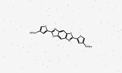 CCCCCCc1csc(-c2nc3cc4sc(-c5cc(CCCCCC)cs5)nc4cc3s2)c1